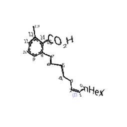 CCCCCC/C=C\CCCCCc1cccc(C)c1C(=O)O